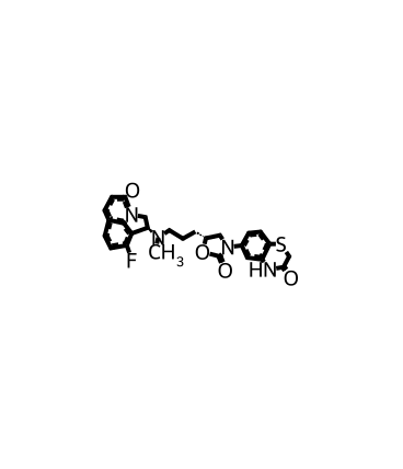 CN(CCC[C@@H]1CN(c2ccc3c(c2)NC(=O)CS3)C(=O)O1)[C@@H]1Cn2c(=O)ccc3ccc(F)c1c32